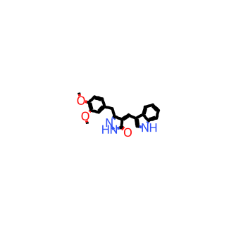 COc1ccc(CC2=NNC(=O)/C2=C\c2c[nH]c3ccccc23)cc1OC